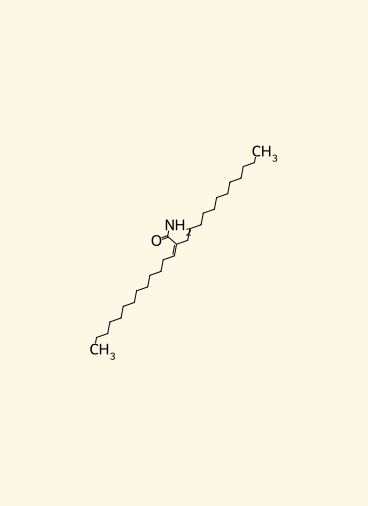 CCCCCCCCCCCCC=C(CCCCCCCCCCCC)C(N)=O